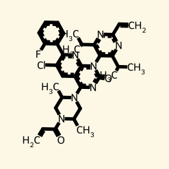 C=CC(=O)N1CC(C)N(c2nc(=O)n(-c3c(C(C)C)nc(C=C)nc3C(C)C)c3nc(-c4ccccc4F)c(Cl)cc23)CC1C